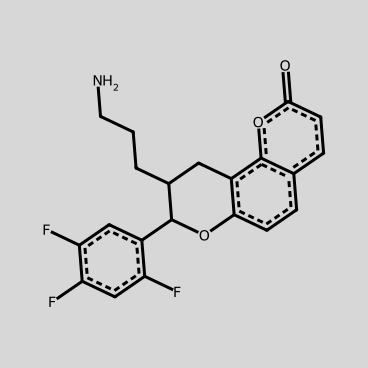 NCCCC1Cc2c(ccc3ccc(=O)oc23)OC1c1cc(F)c(F)cc1F